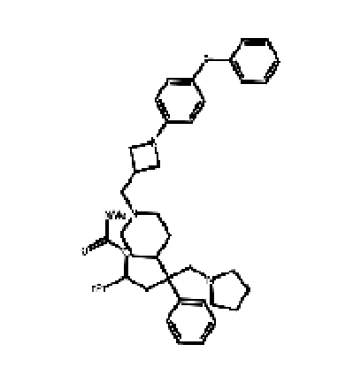 CCCC(CC(CN1CCCC1)(c1ccccc1)C1CCN(CC2CN(c3ccc(Sc4ccccc4)cc3)C2)CC1)OC(=O)NC